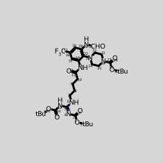 CC(C)(C)OC(=O)/N=C(\NCCCCC(=O)Nc1cc(C(F)(F)F)cc(NC=O)c1N1CCN(C(=O)OC(C)(C)C)CC1)NC(=O)OC(C)(C)C